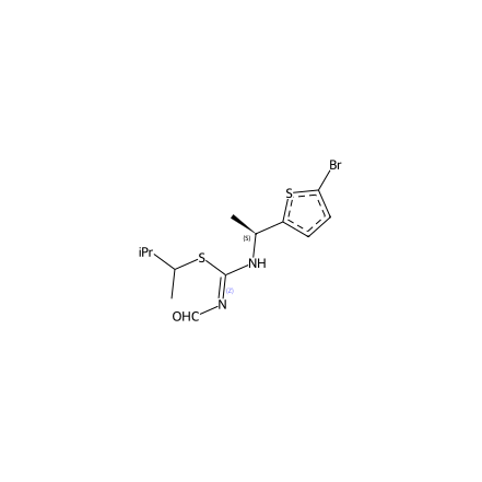 CC(C)C(C)S/C(=N\C=O)N[C@@H](C)c1ccc(Br)s1